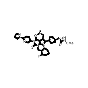 CONC(=O)Nc1ccc(-c2sc3c(c2CN(C)C)c(=O)n(-c2ccc(-n4cccn4)nc2)c(=O)n3Cc2c(F)cccc2F)cc1